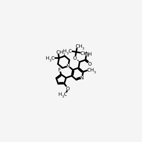 COC1=CC=C(F)C1c1cnc(C)c([C@H](OC(C)(C)C)C(=O)O)c1N1CCC(C)(C)CC1